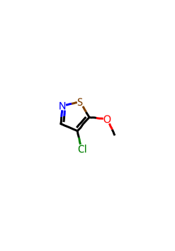 COc1sncc1Cl